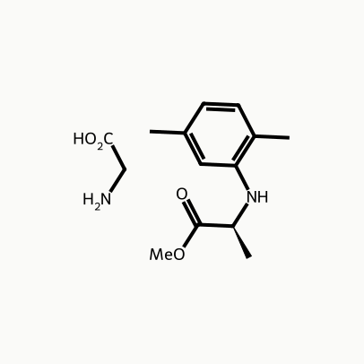 COC(=O)[C@H](C)Nc1cc(C)ccc1C.NCC(=O)O